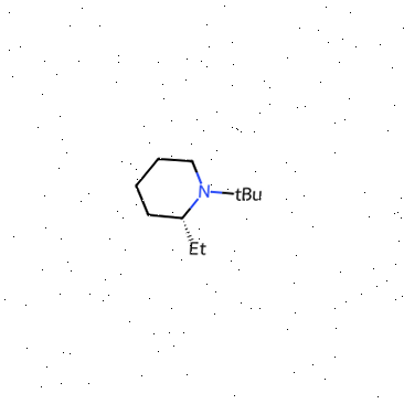 CC[C@@H]1CCCCN1C(C)(C)C